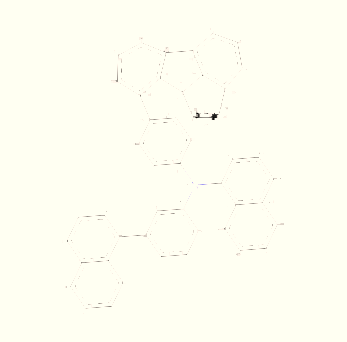 c1cc(-c2cccc3ccccc23)cc(N(c2ccc3c(c2)[C@@]24c5ccccc5-c5cccc(c52)-c2cccc-3c24)c2cccc3ccccc23)c1